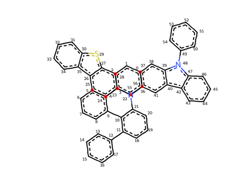 c1ccc(-c2ccccc2-c2c(-c3ccccc3)cccc2N(c2ccc3c(c2)sc2ccccc23)c2ccc3c(c2)c2ccccc2n3-c2ccccc2)cc1